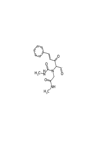 CNC(=O)CN(C(=O)NC)C([C]=O)C(=O)C=Cc1ccccc1